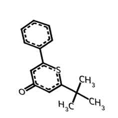 CC(C)(C)c1cc(=O)cc(-c2ccccc2)s1